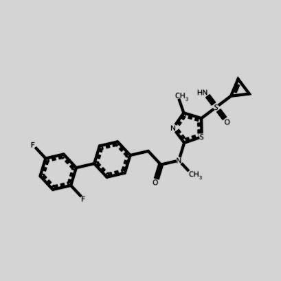 Cc1nc(N(C)C(=O)Cc2ccc(-c3cc(F)ccc3F)cc2)sc1S(=N)(=O)C1=CC1